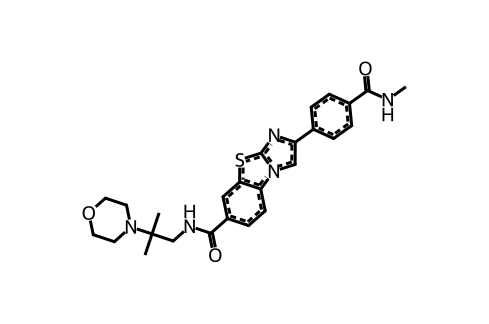 CNC(=O)c1ccc(-c2cn3c(n2)sc2cc(C(=O)NCC(C)(C)N4CCOCC4)ccc23)cc1